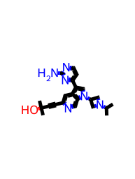 CC(C)N1CC(n2cc(-c3ccnc(N)n3)c3cc(C#CC(C)(C)O)ncc32)C1